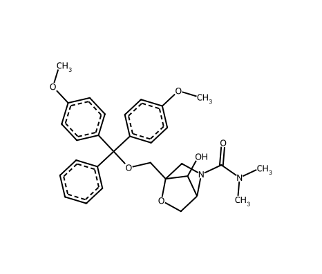 COc1ccc(C(OCC23CN(C(=O)N(C)C)C(CO2)C3O)(c2ccccc2)c2ccc(OC)cc2)cc1